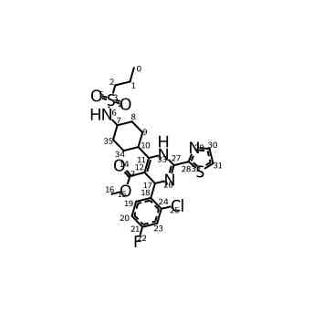 CCCS(=O)(=O)NC1CCC(C2=C(C(=O)OC)C(c3ccc(F)cc3Cl)N=C(c3nccs3)N2)CC1